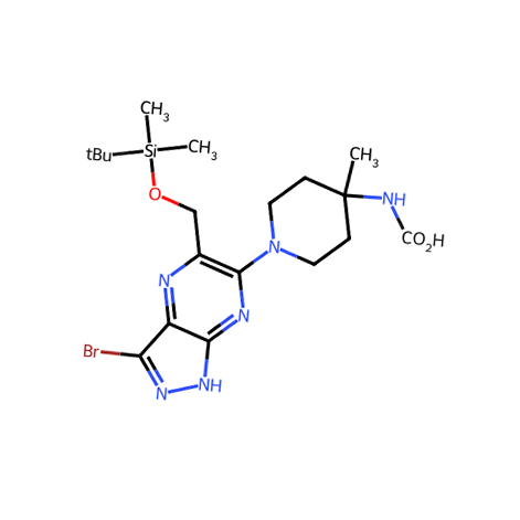 CC1(NC(=O)O)CCN(c2nc3[nH]nc(Br)c3nc2CO[Si](C)(C)C(C)(C)C)CC1